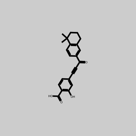 CC1(C)CCCc2cc(C(=O)C#Cc3ccc(C(=O)O)c(O)c3)ccc21